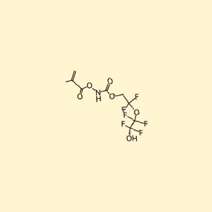 C=C(C)C(=O)ONC(=O)OCC(F)(F)OC(F)(F)C(O)(F)F